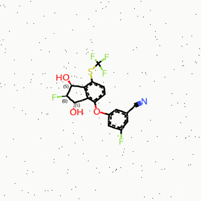 N#Cc1cc(F)cc(Oc2ccc(SC(F)(F)F)c3c2[C@H](O)[C@@H](F)[C@H]3O)c1